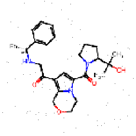 CC[C@@H](NCC(=O)c1cc(C(=O)N2CCCC2C(C)(C)O)n2c1COCC2)c1ccccc1